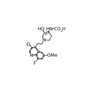 COc1cc(F)c2ncc(Cl)c(CCN3CC[C@@H](NC(=O)O)[C@H](O)C3)c2c1